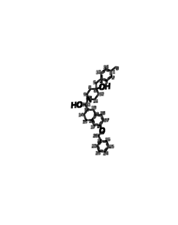 Cc1ccc(CC2(O)CCN(C(O)C3CCc4cc(OCc5ccccc5)ccc4C3)CC2)cc1